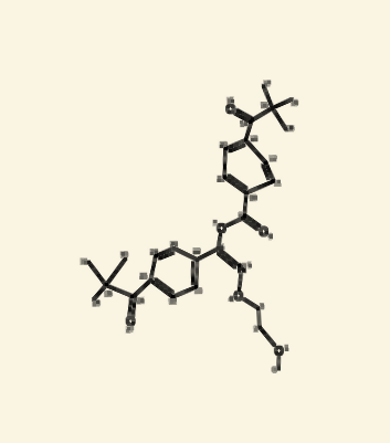 COCCON=C(OC(=O)c1ccc(C(=O)C(C)(C)C)cc1)c1ccc(C(=O)C(C)(C)C)cc1